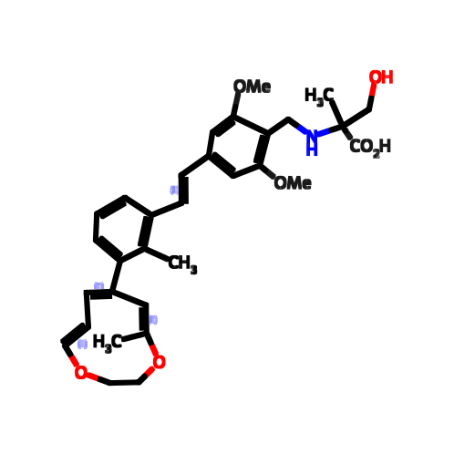 COc1cc(/C=C/c2cccc(C3=C/C=C/OCCO\C(C)=C\3)c2C)cc(OC)c1CNC(C)(CO)C(=O)O